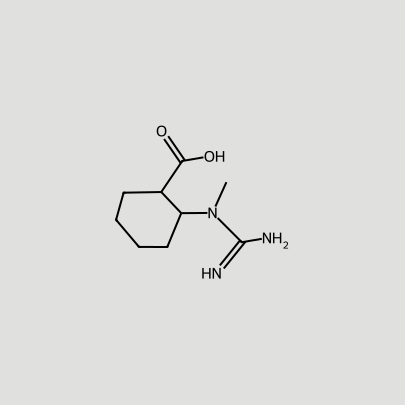 CN(C(=N)N)C1CCCCC1C(=O)O